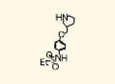 CCS(=O)(=O)Nc1ccc(OCC2CCCNC2)cc1